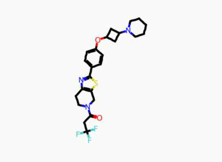 O=C(CC(F)(F)F)N1CCc2nc(-c3ccc(OC4CC(N5CCCCC5)C4)cc3)sc2C1